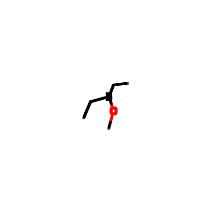 CCB(CC)OC